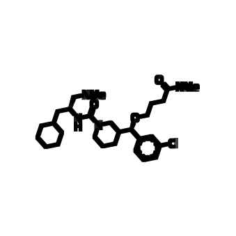 CNC[C@H](CC1CCCCC1)NC(=O)N1CCCC([C@@H](OCCCC(=O)NC)c2cccc(Cl)c2)C1